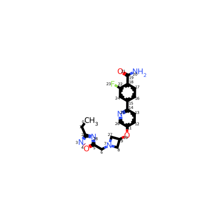 CCc1noc(CN2CC(Oc3ccc(-c4ccc(C(N)=O)c(F)c4)nc3)C2)n1